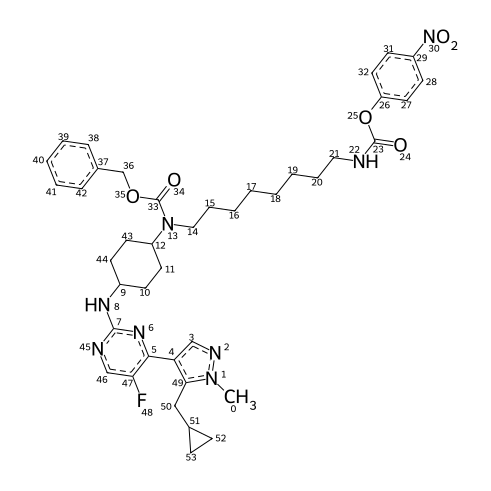 Cn1ncc(-c2nc(NC3CCC(N(CCCCCCCCNC(=O)Oc4ccc([N+](=O)[O-])cc4)C(=O)OCc4ccccc4)CC3)ncc2F)c1CC1CC1